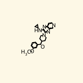 COc1cccc(C(=O)C2CCN(c3nc4cnccc4nc3NC3CC3)CC2)c1